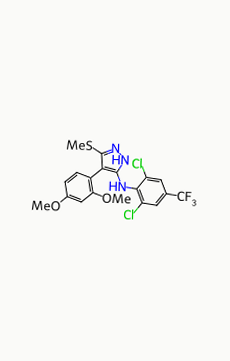 COc1ccc(-c2c(SC)n[nH]c2Nc2c(Cl)cc(C(F)(F)F)cc2Cl)c(OC)c1